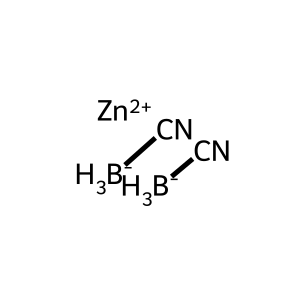 [BH3-]C#N.[BH3-]C#N.[Zn+2]